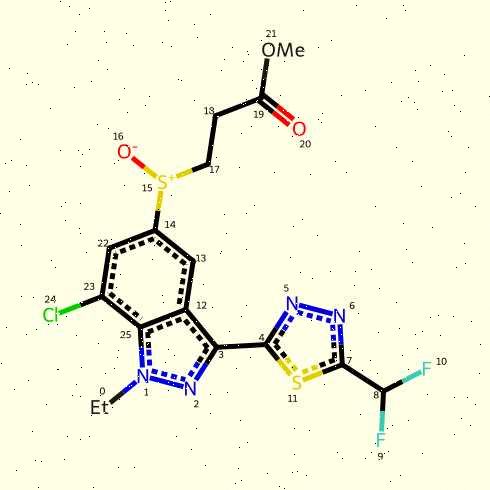 CCn1nc(-c2nnc(C(F)F)s2)c2cc([S+]([O-])CCC(=O)OC)cc(Cl)c21